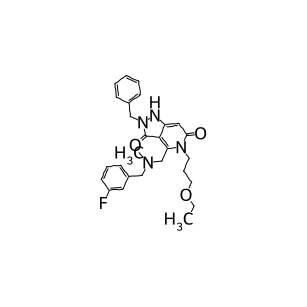 CCOCCCn1c(CN(C)Cc2cccc(F)c2)c2c(=O)n(Cc3ccccc3)[nH]c2cc1=O